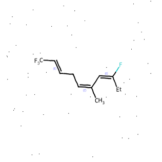 CC/C(F)=C\C(C)=C/C/C=C/C(F)(F)F